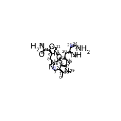 Cc1c(/C=N\N(C=O)Cc2ncoc2C(N)=O)c2sc(CC(=N)/C=C\N)nc2n1C